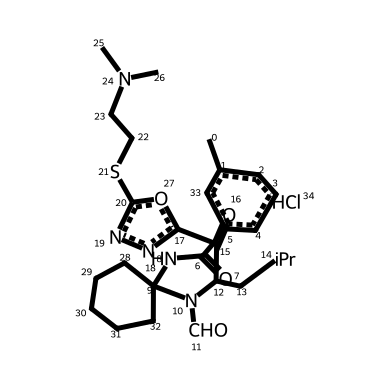 Cc1cccc(C(=O)NC2(N(C=O)C(CC(C)C)C(=O)c3nnc(SCCN(C)C)o3)CCCCC2)c1.Cl